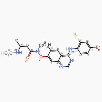 CCN(Oc1cc2ncnc(Nc3ccc(Br)cc3F)c2cc1[N+](=O)[O-])C(=O)CC(C)NC(=O)O